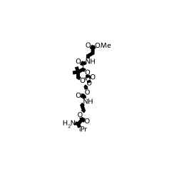 COC(=O)CCNC(=O)[C@@H]1OP(=O)(OCOC(=O)NCCOC(=O)C(N)C(C)C)OCC1(C)C